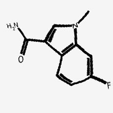 Cn1cc(C(N)=O)c2ccc(F)cc21